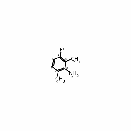 Cc1ccc(F)c(C)c1N